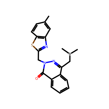 CB(C)Cc1nn(Cc2nc3cc(C)ccc3s2)c(=O)c2ccccc12